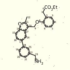 CCOC(=O)Cc1ccccc1OCc1c(C)oc2ccc(-c3cccc(CN)c3)cc12